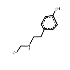 C[C](C)CNCCc1ccc(O)cc1